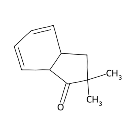 CC1(C)CC2C=CC=CC2C1=O